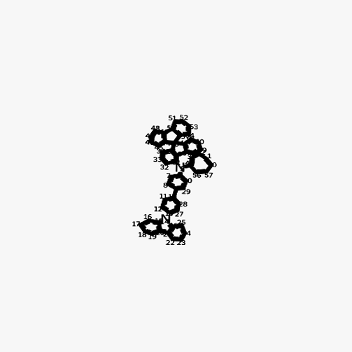 C1=CCC=C(N(c2ccc(-c3ccc(-n4c5ccccc5c5ccccc54)cc3)cc2)c2cccc3c2-c2ccccc2C32c3ccccc3-c3ccccc32)C=C1